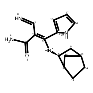 N=C/C(C(N)=O)=C(/N[C@H]1CC2CCC1C2)c1ccc[nH]1